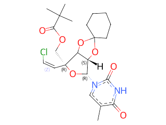 Cc1cn([C@@H]2O[C@](/C=C\Cl)(COC(=O)C(C)(C)C)C3OC4(CCCCC4)O[C@@H]32)c(=O)[nH]c1=O